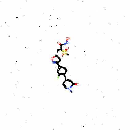 Cn1ccc(-c2ccc(C3=NO[C@@H](CC(C(=O)NO)S(C)(=O)=O)C3)cc2F)cc1=O